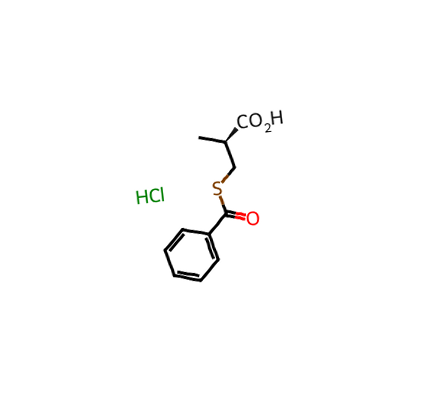 C[C@H](CSC(=O)c1ccccc1)C(=O)O.Cl